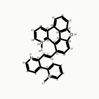 I[n+]1ccccc1-c1cccnc1/C=C/c1ccc2oc3cccc4c5ccc[n+](I)c5c1c2c34